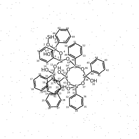 O[Si](O[SiH3])(O[Si]1(c2ccccc2)O[Si](O)(c2ccccc2)O[SiH](c2ccccc2)O[Si]2(c3ccccc3)O[Si](O)(c3ccccc3)O[Si](c3ccccc3)(O[Si](O)(c3ccccc3)O2)O1)c1ccccc1